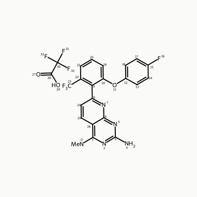 CNc1nc(N)nc2nc(-c3c(Oc4ccc(F)cc4)cccc3C(F)(F)F)ccc12.O=C(O)C(F)(F)F